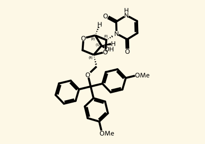 COc1ccc(C(OC[C@@]23CO[C@@H]([C@H](n4c(=O)cc[nH]c4=O)O2)[C@@H]3O)(c2ccccc2)c2ccc(OC)cc2)cc1